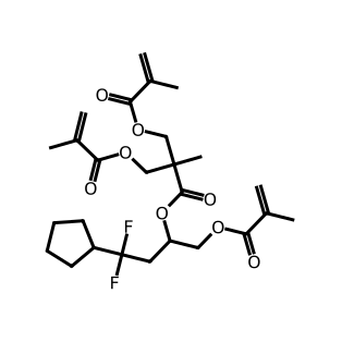 C=C(C)C(=O)OCC(CC(F)(F)C1CCCC1)OC(=O)C(C)(COC(=O)C(=C)C)COC(=O)C(=C)C